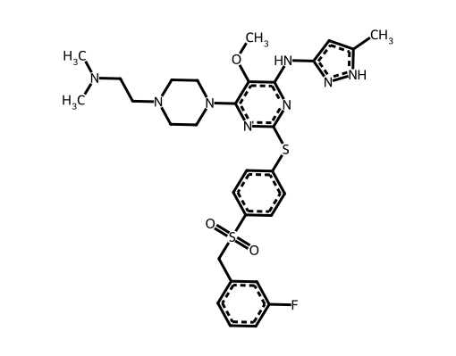 COc1c(Nc2cc(C)[nH]n2)nc(Sc2ccc(S(=O)(=O)Cc3cccc(F)c3)cc2)nc1N1CCN(CCN(C)C)CC1